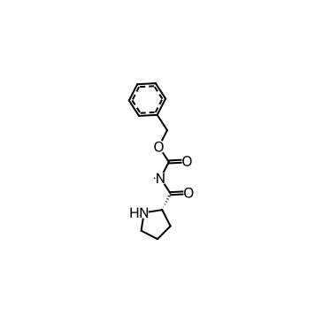 O=C([N]C(=O)[C@@H]1CCCN1)OCc1ccccc1